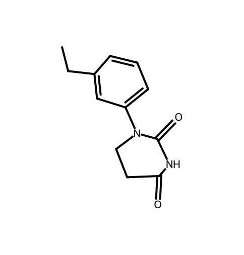 CCc1cccc(N2CCC(=O)NC2=O)c1